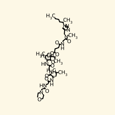 CCCCC(C)n1cc(CN(C)C(=O)CNC(=O)CCC(=O)O[C@](C)(CC)C(=O)[C@H](CC(C)C)NC(=O)CNC(=O)[C@H](CC(C)C)NC(=O)CNC(=O)CN2CCOCC2)nn1